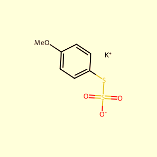 COc1ccc(SS(=O)(=O)[O-])cc1.[K+]